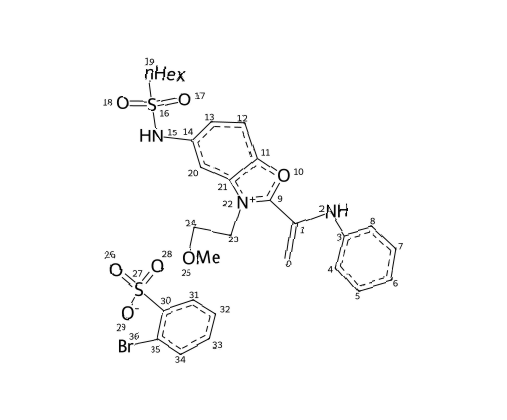 C=C(Nc1ccccc1)c1oc2ccc(NS(=O)(=O)CCCCCC)cc2[n+]1CCOC.O=S(=O)([O-])c1ccccc1Br